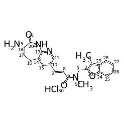 Cc1c(CN(C)C(=O)/C=C/c2cnc3c(c2)CC[C@H](N)C(=O)N3)oc2ccccc12.Cl